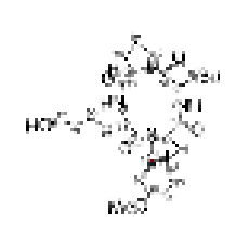 CC[C@H](C)[C@@H]1NC(=O)[C@@H](Cc2ccc(OC)cc2)N(C)C(=O)[C@H](CCCCO)NC(=O)[C@H]2CCCN2C1=O